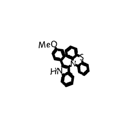 COc1ccc(-c2[nH]c3ccccc3c2N2c3ccccc3Sc3ccccc32)cc1